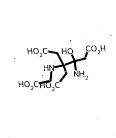 NC(O)(CC(=O)O)C(CC(=O)O)(CC(=O)O)NCC(=O)O